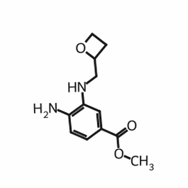 COC(=O)c1ccc(N)c(NCC2CCO2)c1